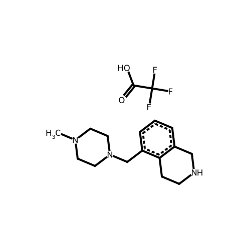 CN1CCN(Cc2cccc3c2CCNC3)CC1.O=C(O)C(F)(F)F